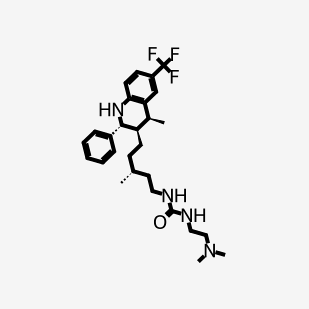 C[C@@H](CCNC(=O)NCCN(C)C)CC[C@@H]1[C@H](C)c2cc(C(F)(F)F)ccc2N[C@H]1c1ccccc1